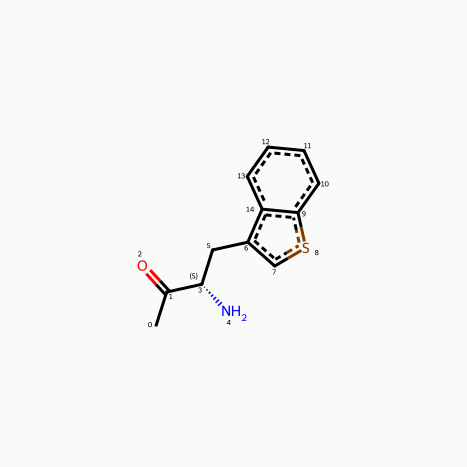 CC(=O)[C@@H](N)Cc1csc2ccccc12